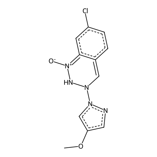 COc1cnn(N2C=c3ccc(Cl)cc3=[N+]([O-])N2)c1